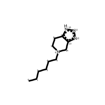 CCCCCCN1CCc2[nH]nnc2C1